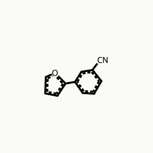 N#Cc1cccc(-c2ccco2)c1